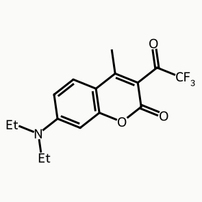 CCN(CC)c1ccc2c(C)c(C(=O)C(F)(F)F)c(=O)oc2c1